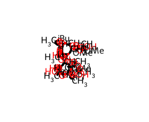 CCC(C)[C@H]1O[C@]2(C=C[C@@H]1C)C[C@@H]1C[C@@H](C/C=C(\C)[C@@H](O[C@H]3C[C@H](OC)[C@@H](O[C@H]4C[C@H](OC)[C@@H](O)[C@H](C)O4)[C@H](C)O3)[C@@H](C)C=CC=C3CO[C@@H]4[C@H](O)C(C)=C[C@@H](C(=O)O1)[C@]34O)O2.CO[C@H]1C[C@H](O[C@H]2[C@H](C)O[C@@H](O[C@@H]3/C(C)=C/C[C@@H]4C[C@@H](C[C@]5(C=C[C@H](C)[C@@H](C(C)C)O5)O4)OC(=O)[C@@H]4C=C(C)[C@@H](O)[C@H]5OC/C(=C\C=C\[C@@H]3C)[C@]54O)C[C@@H]2OC)O[C@@H](C)[C@@H]1O